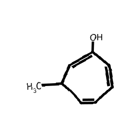 CC1C=CC=CC(O)=C1